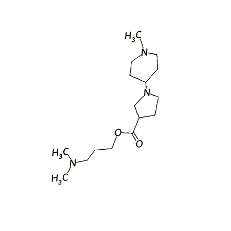 CN(C)CCCOC(=O)C1CCN(C2CCN(C)CC2)C1